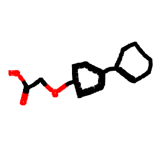 O=C(O)COc1ccc(C2=CCCCC2)cc1